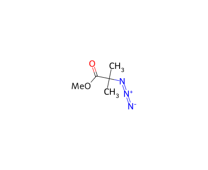 COC(=O)C(C)(C)N=[N+]=[N-]